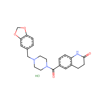 Cl.O=C1CCc2cc(C(=O)N3CCN(Cc4ccc5c(c4)OCO5)CC3)ccc2N1